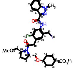 COC[C@@H]1CC[C@@H](CO[C@H]2CC[C@H](C(=O)O)CC2)N1C(=O)Cc1cc(CI)c(NC(=O)c2nn(C)c3ccccc23)cc1F